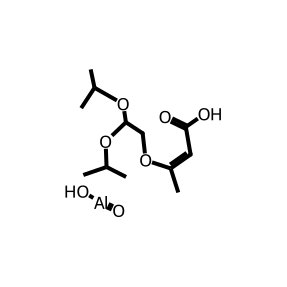 CC(=CC(=O)O)OCC(OC(C)C)OC(C)C.[O]=[Al][OH]